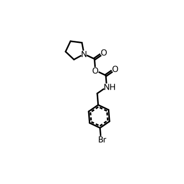 O=C(NCc1ccc(Br)cc1)OC(=O)N1CCCC1